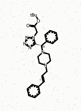 CC(C)(C)OC(=O)Cn1nnnc1[C@H](c1ccccc1)N1CCN(C/C=C/c2ccccc2)CC1